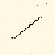 [CH2]CCCCCCCCCCCCCCC/C=C/CCCCCCCCCCCC